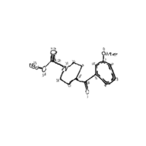 COc1cccc(C(=O)C2CCN(C(=O)OC(C)(C)C)CC2)c1